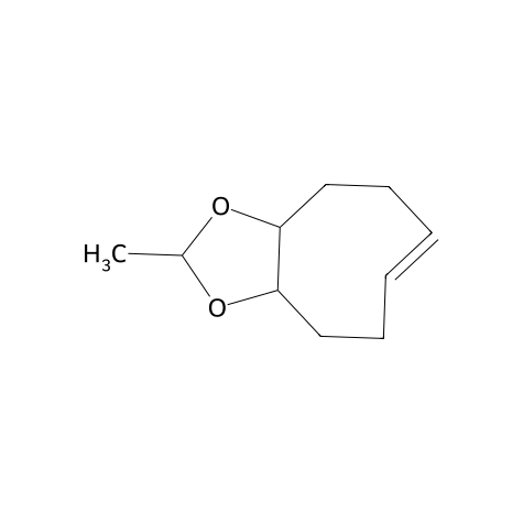 CC1OC2CC/C=C/CCC2O1